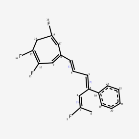 C\C(F)=C/C(=C\C=C\C1=CC(F)=C(F)CC(F)=C1)c1ccccc1